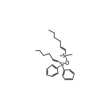 CCCCC=C[Si](C)(C)O[Si](C=CCCCC)(c1ccccc1)c1ccccc1